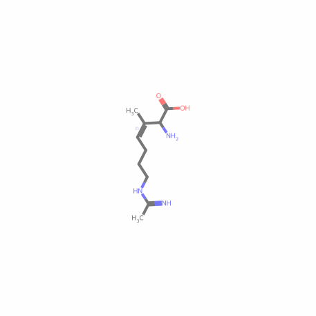 CC(=N)NCCC/C=C(/C)C(N)C(=O)O